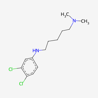 CN(C)CCCCCNc1ccc(Cl)c(Cl)c1